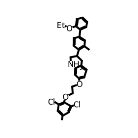 CCOc1ccccc1-c1ccc(C(CN)Cc2ccc(OCCOc3c(Cl)cc(C)cc3Cl)cc2)c(C)c1